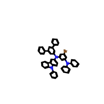 Brc1cc(N(c2ccccc2)c2ccccc2)cc(N(c2cc(-c3ccccc3)cc(-c3ccccc3)c2)c2ccc3c(c2)c2ccccc2n3-c2ccccc2)c1